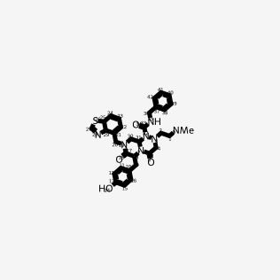 CNCCN1CC(=O)N2C(Cc3ccc(O)cc3)C(=O)N(CC3=CC=CC4SC=NC34)CC2N1C(=O)NCc1ccccc1